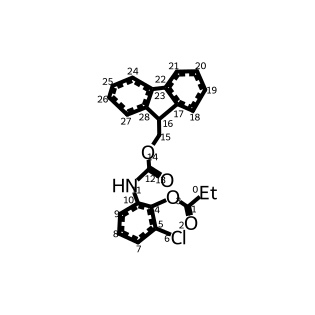 CCC(=O)Oc1c(Cl)cccc1NC(=O)OCC1c2ccccc2-c2ccccc21